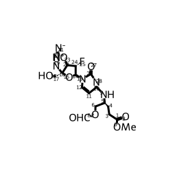 COC(=O)CC[C@@H](COC=O)Nc1ccn(C2O[C@@](CO)(N=[N+]=[N-])C(O)[C@@H]2F)c(=O)n1